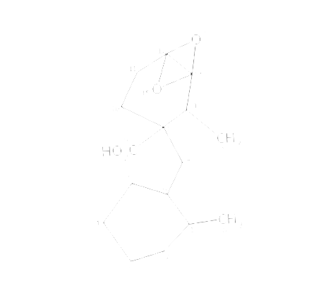 CC1CCCCC1CC1(C(=O)O)CCC23OC2(O3)C1C